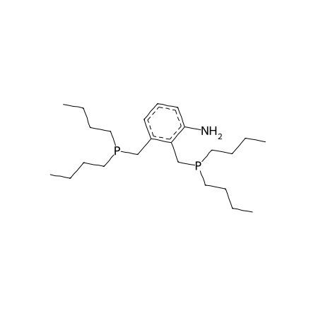 CCCCP(CCCC)Cc1cccc(N)c1CP(CCCC)CCCC